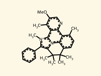 COc1cnc2c3c(C)ccc4c3n3c(c(-c5ccccc5)[n+](C)c3c2c1C)C(C)(C)C4(C)C